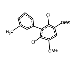 COc1cc(OC)c(Cl)c(-c2cccc(C)c2)c1Cl